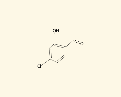 O=[C]c1ccc(Cl)cc1O